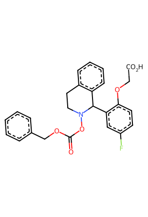 O=C(O)COc1ccc(F)cc1C1c2ccccc2CCN1OC(=O)OCc1ccccc1